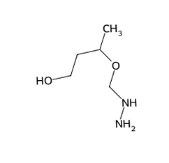 CC(CCO)OCNN